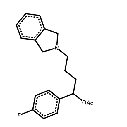 CC(=O)OC(CCCN1Cc2ccccc2C1)c1ccc(F)cc1